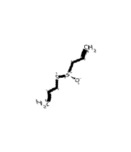 C=CCS[S@@+]([O-])CC=C